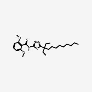 CCCCCCCCCC(CC)(CC)c1nnc(NC(=S)c2c(OC)cccc2OC)s1